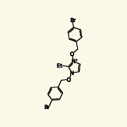 CCc1n(OCc2ccc(Br)cc2)cc[n+]1OCc1ccc(Br)cc1